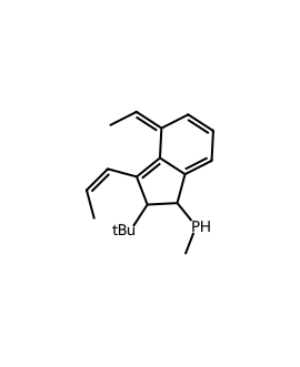 C/C=C\C1=c2c(ccc/c2=C/C)C(PC)C1C(C)(C)C